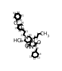 CCCCN1C(=O)[C@H](CC2CCCCC2)NC(=O)C12CCN(CCc1ccc(Oc3ccccc3)cc1)CC2.Cl